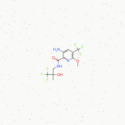 COc1nc(C(=O)NCC(C)(O)C(F)(F)F)c(N)cc1C(F)(F)F